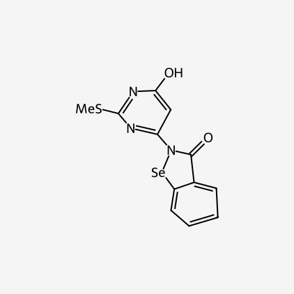 CSc1nc(O)cc(-n2[se]c3ccccc3c2=O)n1